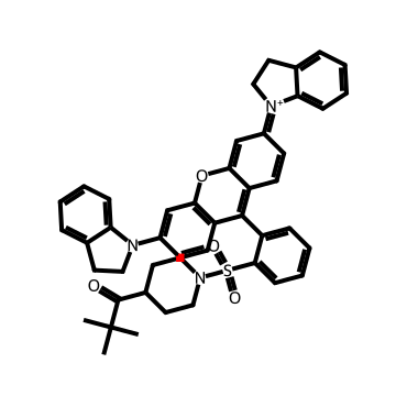 CC(C)(C)C(=O)C1CCN(S(=O)(=O)c2ccccc2-c2c3cc/c(=[N+]4/CCc5ccccc54)cc-3oc3cc(N4CCc5ccccc54)ccc23)CC1